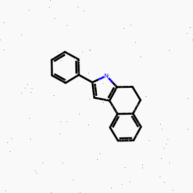 C1=C(c2ccccc2)[N]C2=C1c1ccccc1CC2